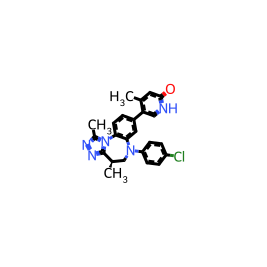 Cc1cc(=O)[nH]cc1-c1ccc2c(c1)N(c1ccc(Cl)cc1)C[C@@H](C)c1nnc(C)n1-2